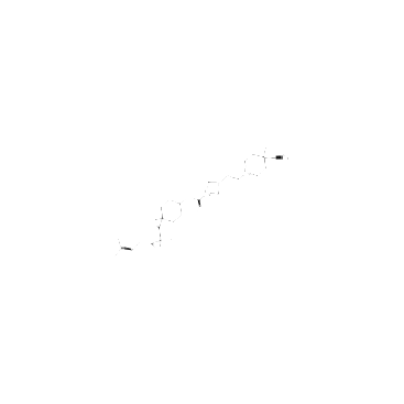 CC(C)=CC[C@H]1O[C@@]1(C)C1OC12CCC(OC(=O)N1CC(CCN3CCC(C)(C#N)CC3)C1)CC2